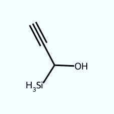 C#CC(O)[SiH3]